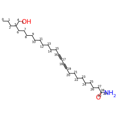 CCCC(CO)CCCCCCCCCCC#CC#CCCCCCCCCC(N)=O